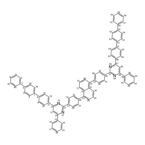 c1ccc(-c2ccc(-c3ccc(-c4cc(-c5ccccc5)nc(-c5ccc(-c6cccc7c(-c8ccc(-c9nc(-c%10ccccc%10)cc(-c%10ccc(-c%11ccc(-c%12ccccc%12)cc%11)cc%10)n9)cc8)cccc67)cc5)n4)cc3)cc2)cc1